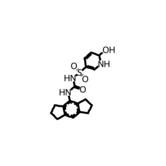 O=C(Nc1c2c(cc3c1CCC3)CCC2)NS(=O)(=O)C1=CNC(O)C=C1